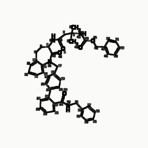 CC(C)(CC(=O)NC1CCc2ccccc2N(Cc2ccc(-c3ccccc3C(=O)NCc3ccccc3)cc2)C1=O)NC(=O)OCc1ccccc1